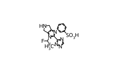 Cn1ncnc1-c1nc2c(n1C(F)F)CNC2.O=S(=O)(O)c1ccccc1